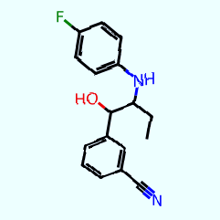 CCC(Nc1ccc(F)cc1)C(O)c1cccc(C#N)c1